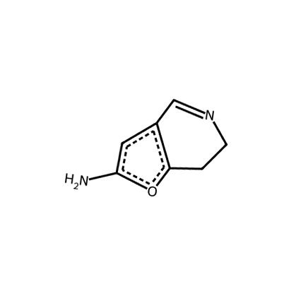 Nc1cc2c(o1)CCN=C2